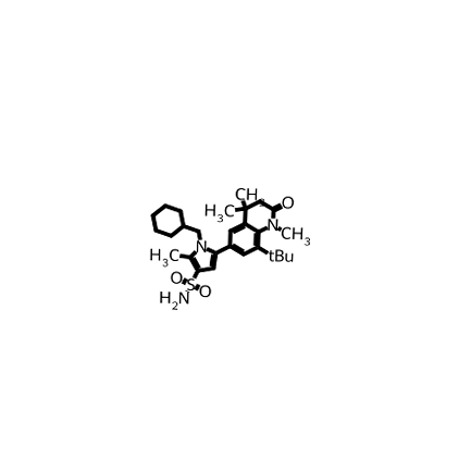 Cc1c(S(N)(=O)=O)cc(-c2cc(C(C)(C)C)c3c(c2)C(C)(C)CC(=O)N3C)n1CC1CCCCC1